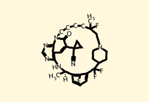 C[C@H]1Nc2ncnc3c2cc(C2(C#N)CC2)c(=O)n3CCCCC(C)(F)CN2CCC(CC2)C(F)(F)c2cccc1c2F